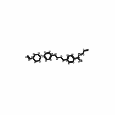 C=CCOC(CC)c1ccc(CCCCc2ccc([C@H]3CC[C@H](C=C)CC3)cc2)cc1